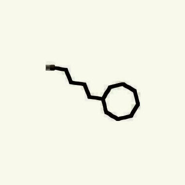 OCCCCC1CCCCCCC1